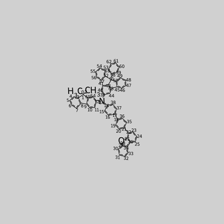 CC1(C)c2ccccc2-c2ccc(N(c3ccc(-c4ccc(-c5cccc6c5oc5ccccc56)cc4)cc3)c3ccc4c(c3)-c3ccccc3C4(c3ccccc3)c3ccccc3)cc21